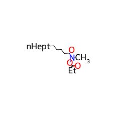 CCCCCCCCCCCC(=O)N(C)OC(=O)CC